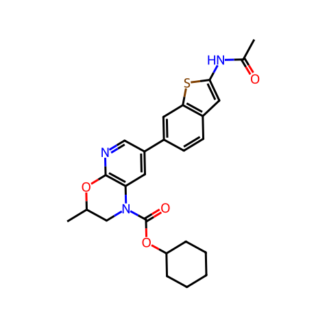 CC(=O)Nc1cc2ccc(-c3cnc4c(c3)N(C(=O)OC3CCCCC3)CC(C)O4)cc2s1